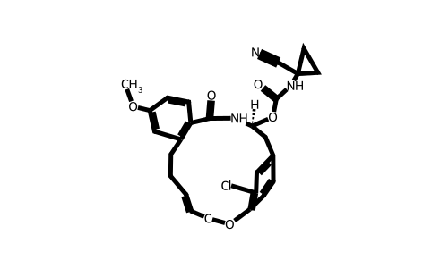 COc1ccc2c(c1)CC/C=C/COc1ccc(cc1Cl)C[C@H](OC(=O)NC1(C#N)CC1)NC2=O